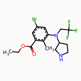 CCOC(=O)c1cc(Br)cc(N(CC(F)(F)F)C2CCNC2)c1C